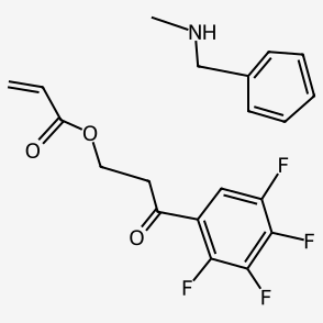 C=CC(=O)OCCC(=O)c1cc(F)c(F)c(F)c1F.CNCc1ccccc1